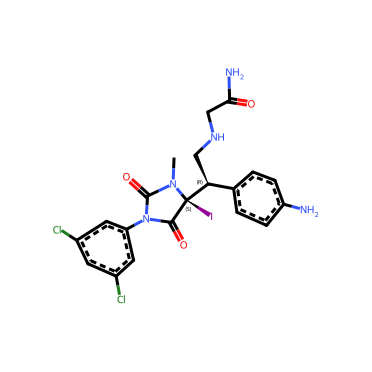 CN1C(=O)N(c2cc(Cl)cc(Cl)c2)C(=O)[C@@]1(I)[C@@H](CNCC(N)=O)c1ccc(N)cc1